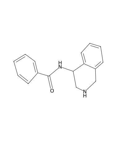 O=C(NC1CNCc2ccccc21)c1ccccc1